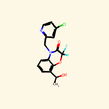 CC(O)c1cccc2c1OC(F)(F)C(=O)N2Cc1cc(Cl)ccn1